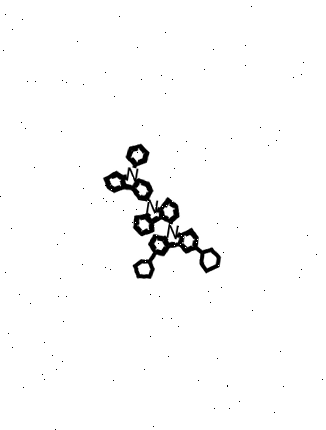 c1ccc(-n2c3ccccc3c3cc(-n4c5ccccc5c5c(-n6c7ccc(C8CCCCC8)cc7c7cc(C8CCCCC8)ccc76)cccc54)ccc32)cc1